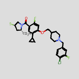 O=C(O)[C@@H]1C[C@@H](F)CN1C(=O)c1cc(C2CC2)c(OCC2CCN(Cc3ccc(Cl)c(F)c3)CC2)cc1F